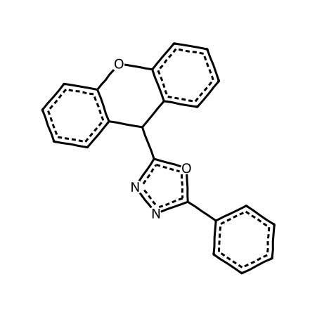 c1ccc(-c2nnc(C3c4ccccc4Oc4ccccc43)o2)cc1